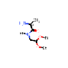 CCOC(CN(CC)C(=O)[C@H](C)N)OCC